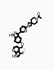 CC(=O)N1CCC2(CC1)CN(c1ccc(-c3n[nH]c4ccc(O[C@H](C)c5ccnc6[nH]cc(F)c56)cc34)cn1)C2